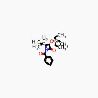 CC[Si](CC)(CC)O[C@@H]1C(=O)N(C(=O)c2ccccc2)[C@@H]1C(C)(C)C